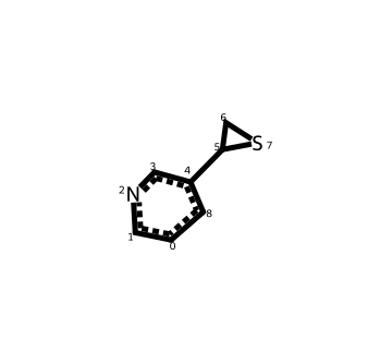 c1cncc(C2CS2)c1